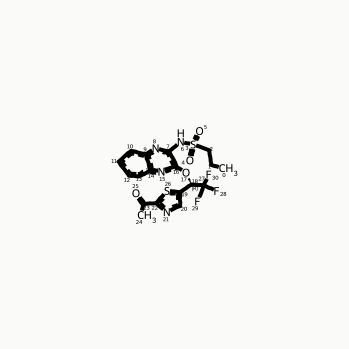 CCCS(=O)(=O)Nc1nc2ccccc2nc1O[C@@H](c1cnc(C(C)=O)s1)C(F)(F)F